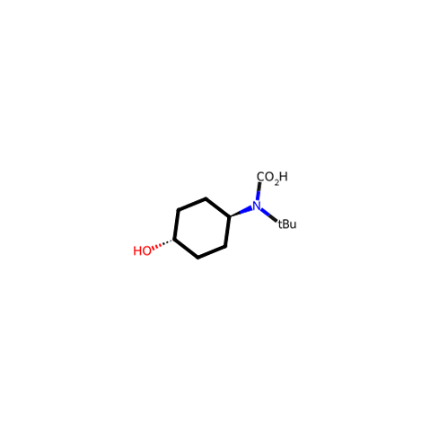 CC(C)(C)N(C(=O)O)[C@H]1CC[C@H](O)CC1